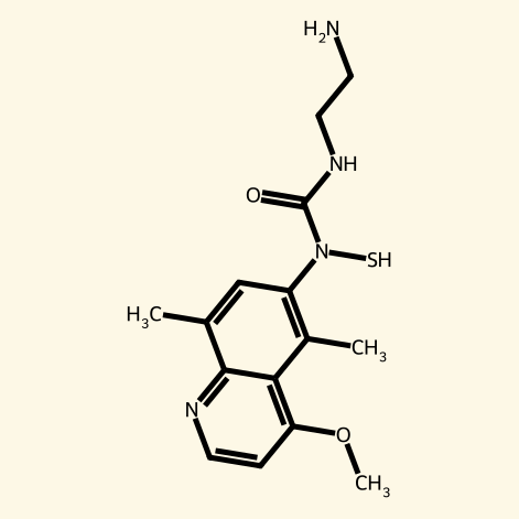 COc1ccnc2c(C)cc(N(S)C(=O)NCCN)c(C)c12